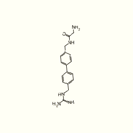 N=C(N)NCc1ccc(-c2ccc(CNC(=O)CN)cc2)cc1